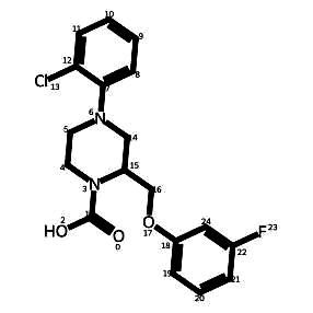 O=C(O)N1CCN(c2ccccc2Cl)CC1COc1cccc(F)c1